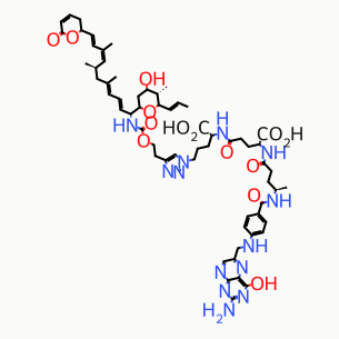 C/C=C/C1OC([C@@H](/C=C/C=C(\C)C[C@@H](C)/C=C(C)\C=C\C2CC=CC(=O)O2)NC(=O)OCCc2cn(CCC[C@H](NC(=O)CC[C@H](NC(=O)CC[C@@H](C)NC(=O)c3ccc(NCc4cnc5nc(N)nc(O)c5n4)cc3)C(=O)O)C(=O)O)nn2)C[C@@H](O)[C@@H]1C